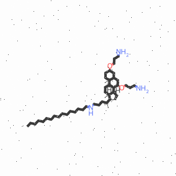 CCCCCCCCCCCCCCCCNCCC[C@@H](C)[C@H]1CC[C@H]2C3[C@H](OCCCN)CC4C[C@H](OCCCN)CC[C@]4(C)[C@H]3CC[C@]12C